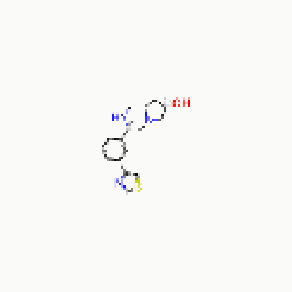 CN[C@H](CN1CC[C@H](O)C1)c1cccc(-c2cscn2)c1